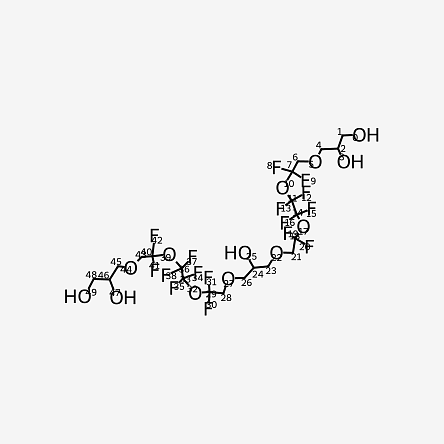 OCC(O)COCC(F)(F)OC(F)(F)C(F)(F)OC(F)(F)COCC(O)COCC(F)(F)OC(F)(F)C(F)(F)OC(F)(F)COCC(O)CO